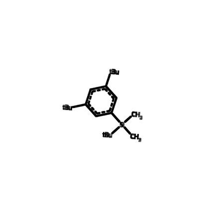 CC(C)(C)c1cc(C(C)(C)C)cc([Si](C)(C)C(C)(C)C)c1